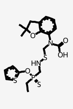 CCP(=S)(CNSCN(C(=O)O)c1cccc2c1OC(C)(C)C2)Oc1cccs1